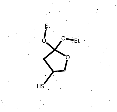 CCOC1(OCC)CC(S)CO1